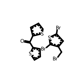 BrCc1cc(Br)sc1Br.O=C(c1cccs1)c1cccs1